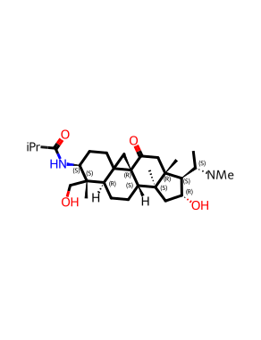 CN[C@@H](C)[C@H]1[C@H](O)C[C@@]2(C)[C@@H]3CC[C@@H]4C5(CC[C@H](NC(=O)C(C)C)[C@@]4(C)CO)C[C@@]35C(=O)C[C@]12C